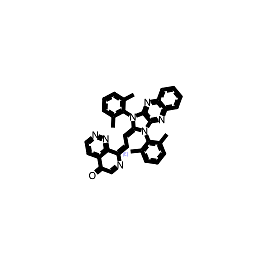 Cc1cccc(C)c1N1C(=C/C=C2/N=CC(=O)c3ccnnc32)N(c2c(C)cccc2C)c2nc3ccccc3nc21